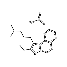 CCc1nc2cnc3ccccc3c2n1CCCC(C)C.N[SH](=O)=O